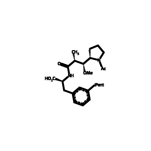 CCCC(C)c1cccc(C[C@H](NC(=O)[C@H](C)[C@@H](OC)[C@@H]2CCCN2C(C)=O)C(=O)O)c1